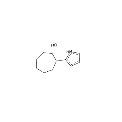 Cl.c1c[nH]c(C2CCCCCC2)c1